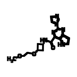 COCCO[C@H]1C[C@H](NC(=O)c2nc(-n3ccnc3)nc3cc[nH]c23)C1